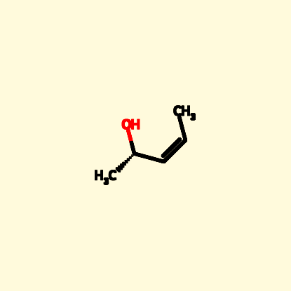 C/C=C\[C@H](C)O